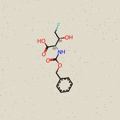 O=C(N[C@H](C(=O)O)[C@H](O)CF)OCc1ccccc1